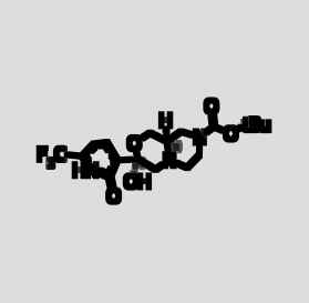 CC(C)(C)OC(=O)N1CCN2C[C@@](O)(c3ccc(C(F)(F)F)[nH]c3=O)OC[C@@H]2C1